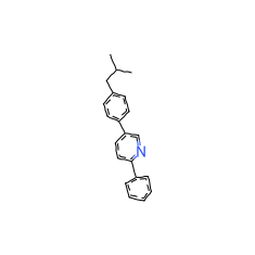 CC(C)Cc1ccc(-c2ccc(-c3ccccc3)nc2)cc1